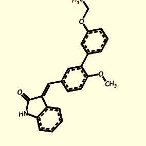 CCOc1cccc(-c2cc(/C=C3/C(=O)Nc4ccccc43)ccc2OC)c1